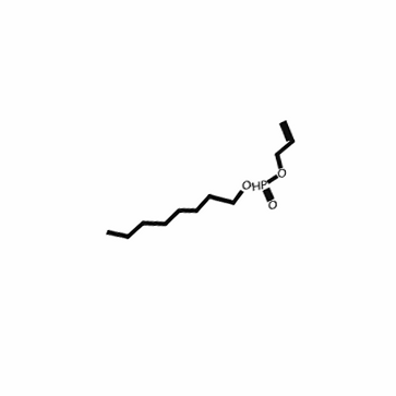 C=CCO[PH](=O)OCCCCCCCC